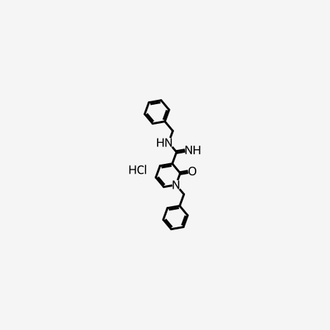 Cl.N=C(NCc1ccccc1)c1cccn(Cc2ccccc2)c1=O